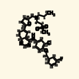 CCCN(CCS(C)(=O)=O)Cc1ccc(-c2ccc3ncnc(Nc4ccc(OCc5cccc(F)c5)c(Cl)c4)c3c2)o1